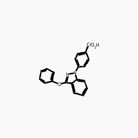 O=C(O)c1ccc(-n2nc(Oc3ccccc3)c3ccccc32)cc1